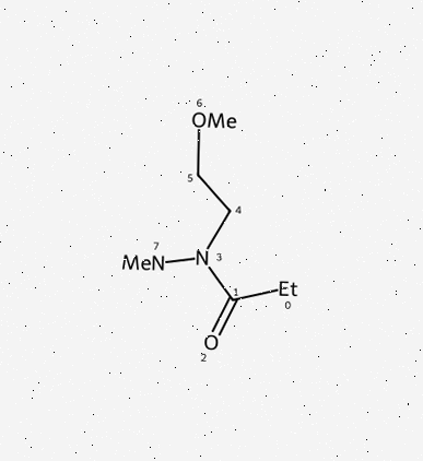 CCC(=O)N(CCOC)NC